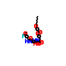 CCCCCCCOc1ccc(C(=O)Oc2ccc(C[C@H](NC(=O)c3ccc(NC(=O)Cc4ccc(OC)c(F)c4)cc3)C(=O)O)cc2)cc1